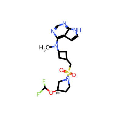 CN(c1ncnc2[nH]ccc12)C1CC(CS(=O)(=O)N2CC[C@@H](OC(F)F)C2)C1